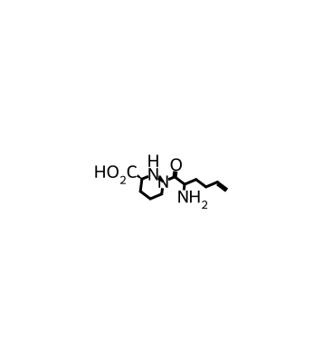 C=CCCC(N)C(=O)N1CCC[C@@H](C(=O)O)N1